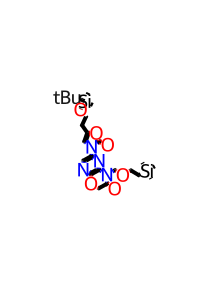 CC(C)(C)[Si](C)(C)OCCc1cn(-c2cnc3c(n2)N(COCC[Si](C)(C)C)C(=O)CO3)c(=O)o1